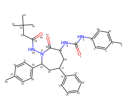 Cc1ccc(NC(=O)NC2CC(c3ccccc3)CC(c3ccc(C)cc3)N(NC(=O)CC(C)(C)C)C2=O)cc1